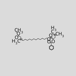 CCOC(=O)C[C@H](C)CCCCCCCCCCCCO[C@@H]1OC(C)[C@H](C)CC1OC(=O)c1ccccc1